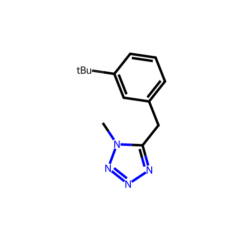 Cn1nnnc1Cc1cccc(C(C)(C)C)c1